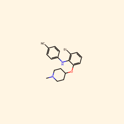 CCc1c[c]cc(OC2CCN(C)CC2)c1Nc1ccc(C#N)cc1